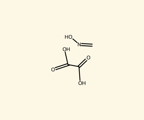 C=NO.O=C(O)C(=O)O